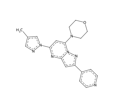 Cc1cnn(-c2cc(N3CCOCC3)n3nc(-c4ccncc4)cc3n2)c1